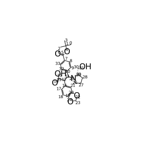 CC(C)(C)OC(=O)c1ccc(C(C(C(=O)O)c2ccc3c(c2)OCO3)N2CCC[C@H]2CO)cc1